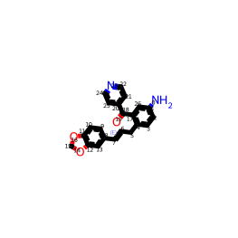 Nc1ccc(C/C=C/c2ccc3c(c2)OCO3)c(C(=O)c2ccncc2)c1